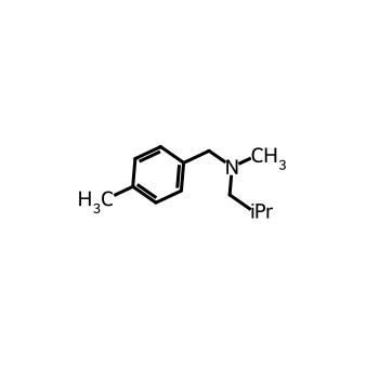 Cc1ccc(CN(C)CC(C)C)cc1